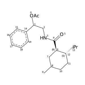 CC(=O)OC(CNC(=O)[C@@H]1CC(C)CC[C@H]1C(C)C)c1ccccc1